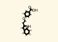 O=C(O)c1ccc(OCCc2cc3ccccc3[nH]2)cc1